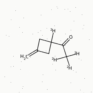 [2H]C([2H])([2H])C(=O)C1([2H])CC(=C)C1